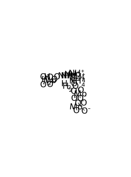 O.O.O.O.[NH4+].[NH4+].[NH4+].[NH4+].[NH4+].[NH4+].[O]=[Mo](=[O])([O-])[O-].[O]=[Mo](=[O])([O-])[O-].[O]=[Mo](=[O])([O-])[O-]